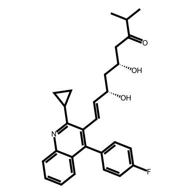 CC(C)C(=O)C[C@H](O)C[C@H](O)/C=C/c1c(C2CC2)nc2ccccc2c1-c1ccc(F)cc1